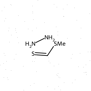 CSC=S.NN